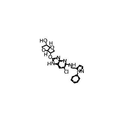 O[C@@H]1CO[C@H]2[C@@H]1OC[C@H]2Oc1nc2nc(NCc3ccnn3-c3ccccc3)c(Cl)cc2[nH]1